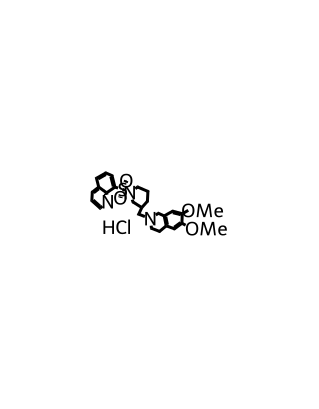 COc1cc2c(cc1OC)CN(CC1CCCN(S(=O)(=O)c3cccc4cccnc34)C1)CC2.Cl